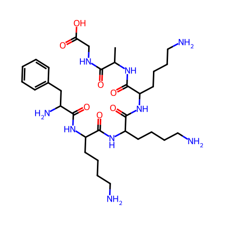 CC(NC(=O)C(CCCCN)NC(=O)C(CCCCN)NC(=O)C(CCCCN)NC(=O)C(N)Cc1ccccc1)C(=O)NCC(=O)O